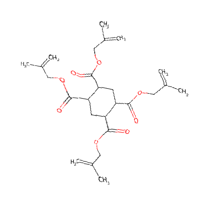 C=C(C)COC(=O)C1CC(C(=O)OCC(=C)C)C(C(=O)OCC(=C)C)CC1C(=O)OCC(=C)C